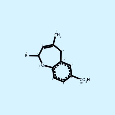 CC1=CC(Br)Oc2ccc(C(=O)O)cc2C1